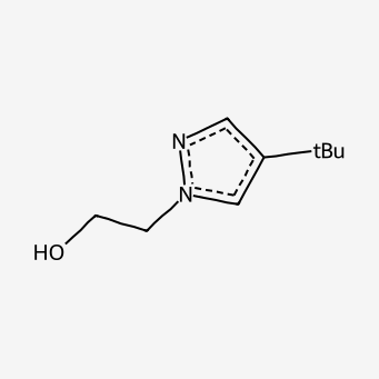 CC(C)(C)c1cnn(CCO)c1